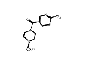 O=C(O)N1CCN(C(=O)c2ccc(C(F)(F)F)nc2)CC1